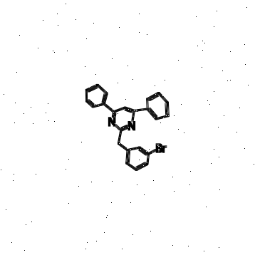 Brc1cccc(Cc2nc(-c3ccccc3)cc(-c3ccccc3)n2)c1